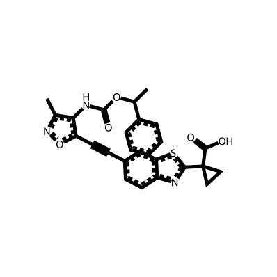 Cc1noc(C#Cc2ccc3nc(C4(C(=O)O)CC4)sc3c2)c1NC(=O)OC(C)c1ccccc1